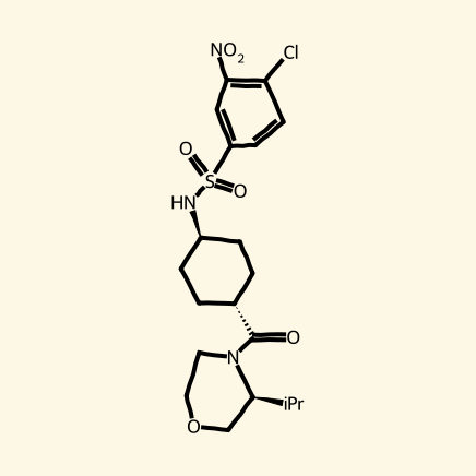 CC(C)[C@H]1COCCN1C(=O)[C@H]1CC[C@H](NS(=O)(=O)c2ccc(Cl)c([N+](=O)[O-])c2)CC1